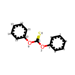 S=C(Oc1ccccc1)Oc1ccccc1